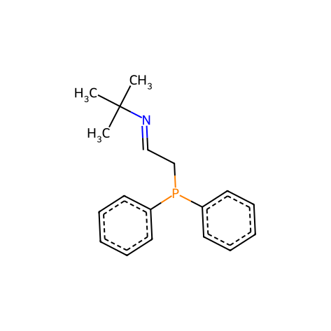 CC(C)(C)N=CCP(c1ccccc1)c1ccccc1